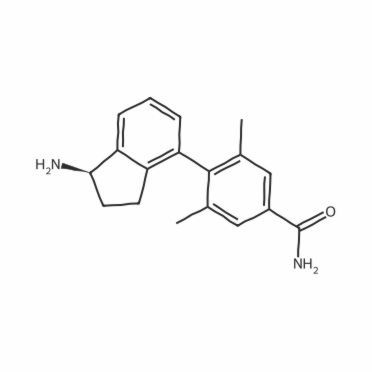 Cc1cc(C(N)=O)cc(C)c1-c1cccc2c1CC[C@H]2N